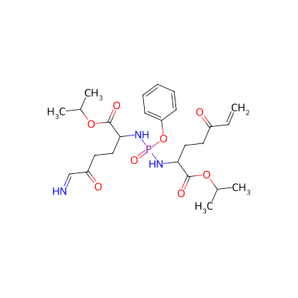 C=CC(=O)CCC(NP(=O)(NC(CCC(=O)C=N)C(=O)OC(C)C)Oc1ccccc1)C(=O)OC(C)C